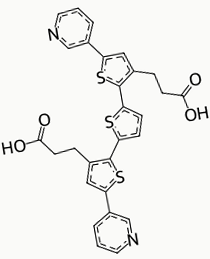 O=C(O)CCc1cc(-c2cccnc2)sc1-c1ccc(-c2sc(-c3cccnc3)cc2CCC(=O)O)s1